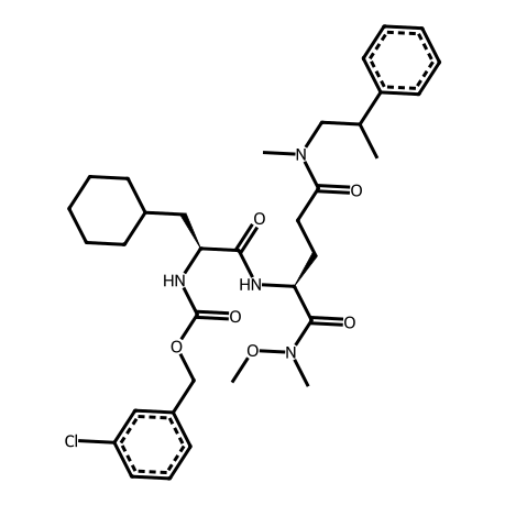 CON(C)C(=O)[C@H](CCC(=O)N(C)CC(C)c1ccccc1)NC(=O)[C@H](CC1CCCCC1)NC(=O)OCc1cccc(Cl)c1